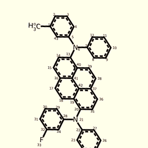 Cc1cccc(N(c2ccccc2)c2ccc3ccc4c(N(c5ccccc5)c5cccc(F)c5)ccc5ccc2c3c54)c1